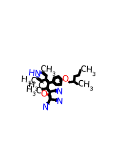 CCCCC(CC)COc1ccc(C(=C2C=C(C)NC(C)=C2)C2=C(C#N)C(=C(C#N)C#N)OC2(C)C)cc1